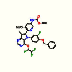 COc1cc(NC(=O)OC(C)(C)C)cnc1-c1c(C)c2ncnc(OC(F)C(F)F)c2n1-c1ccc(OCc2ccccc2)c(F)c1